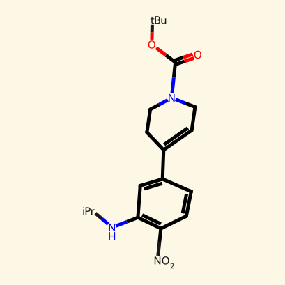 CC(C)Nc1cc(C2=CCN(C(=O)OC(C)(C)C)CC2)ccc1[N+](=O)[O-]